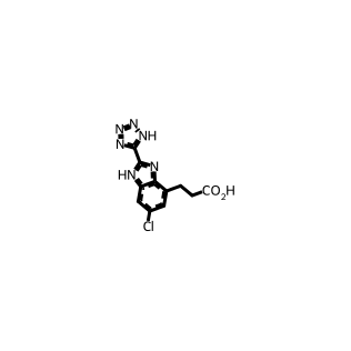 O=C(O)CCc1cc(Cl)cc2[nH]c(-c3nnn[nH]3)nc12